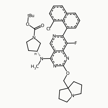 CN(c1nc(OCC23CCCN2CCC3)nc2c(F)c(-c3cccc4cccc(Cl)c34)ncc12)[C@@H]1CCN(C(=O)OC(C)(C)C)C1